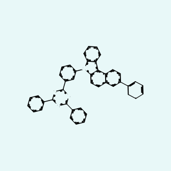 C1=CCCC(c2ccc3c(ccc4c3c3ccccc3n4-c3cccc(-c4nc(-c5ccccc5)nc(-c5ccccc5)n4)c3)c2)=C1